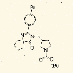 CC(C)(C)OC(=O)N1CCC(CN2C(=O)C3(CCCC3)N=C2c2ccc(Br)cc2)C1